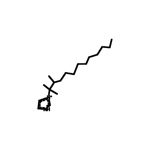 CCCCCCCCCCC(C)C(C)(C)[n+]1cc[nH]c1